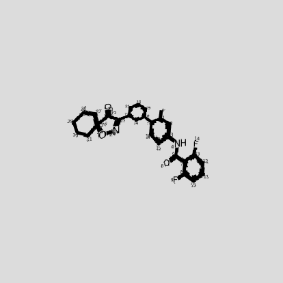 Cc1cc(NC(=O)c2c(F)cccc2F)ccc1-c1cccc(C2=NOC3(CCCCC3)C2=O)c1